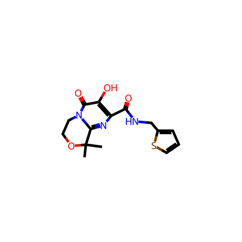 CC1(C)OCCn2c1nc(C(=O)NCc1cccs1)c(O)c2=O